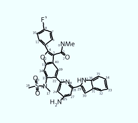 CNC(=O)c1c(-c2ccc(F)cc2)oc2cc(N(C)S(C)(=O)=O)c(-c3cc(N)cc(-c4cc5ccccc5[nH]4)n3)cc12